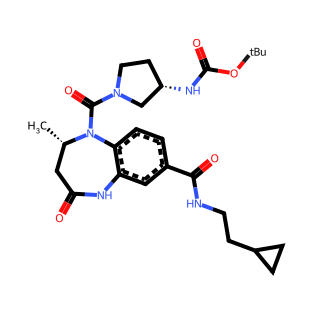 C[C@H]1CC(=O)Nc2cc(C(=O)NCCC3CC3)ccc2N1C(=O)N1CC[C@H](NC(=O)OC(C)(C)C)C1